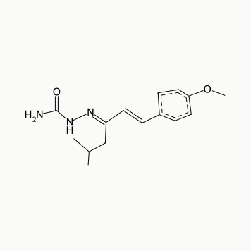 COc1ccc(/C=C/C(CC(C)C)=N/NC(N)=O)cc1